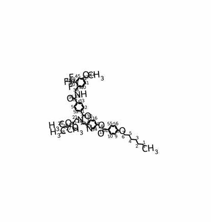 CCCCCCCOc1ccc(C(=O)Oc2ccc(CN(CC(=O)OC(C)(C)C)C(=O)c3ccc(C(=O)NCc4ccc(OC)cc4C(F)(F)F)cc3)nc2)cc1